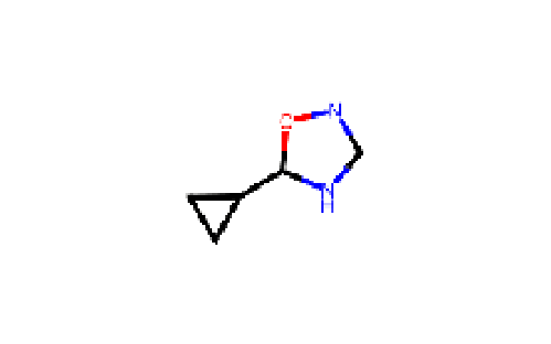 C1[N]OC(C2CC2)N1